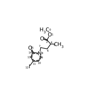 COC(=O)C(C)CCn1ccc(I)cc1=O